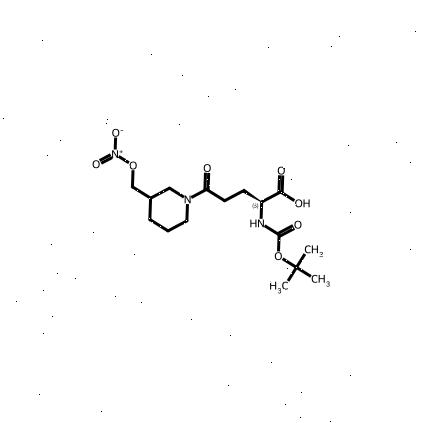 CC(C)(C)OC(=O)N[C@@H](CCC(=O)N1CCCC(CO[N+](=O)[O-])C1)C(=O)O